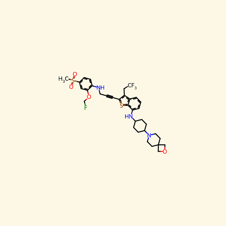 CS(=O)(=O)c1ccc(NCC#Cc2sc3c(NC4CCC(N5CCC6(CC5)COC6)CC4)cccc3c2CC(F)(F)F)c(OCF)c1